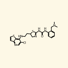 CN(C)Cc1ccccc1NC(=O)NC1=NCC(CCNc2c(Cl)cnc3ccsc23)S1